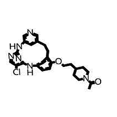 CC(=O)N1CCC(CCOc2ccc3cc2CCc2cncc(c2)Nc2ncc(Cl)c(n2)N3)CC1